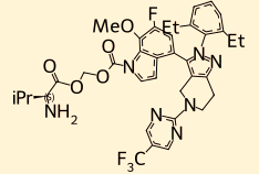 CCc1cccc(CC)c1-n1nc2c(c1-c1cc(F)c(OC)c3c1ccn3C(=O)OCOC(=O)[C@@H](N)C(C)C)CN(c1ncc(C(F)(F)F)cn1)CC2